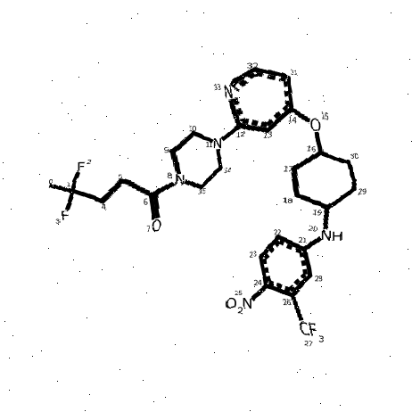 CC(F)(F)CCC(=O)N1CCN(c2cc(OC3CCC(Nc4ccc([N+](=O)[O-])c(C(F)(F)F)c4)CC3)ccn2)CC1